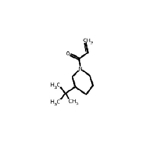 C=CC(=O)N1CCCC(C(C)(C)C)C1